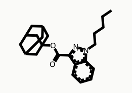 CCCCCn1nc(C(=O)OC23CC4CC(CC(C4)C2)C3)c2ccccc21